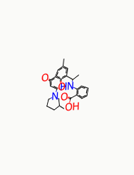 Cc1cc(C(C)Nc2ccccc2C(=O)O)c2oc(N3CCCC(C)C3)cc(=O)c2c1